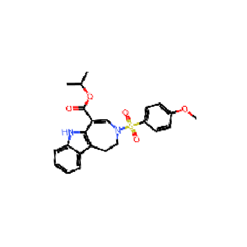 COc1ccc(S(=O)(=O)N2C=C(C(=O)OC(C)C)c3[nH]c4ccccc4c3CC2)cc1